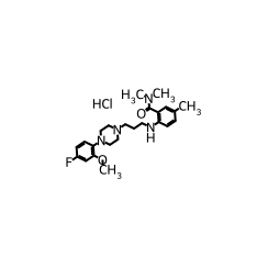 COc1cc(F)ccc1N1CCN(CCCNc2ccc(C)cc2C(=O)N(C)C)CC1.Cl